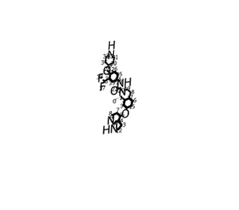 C[C@H]1c2cc(Oc3ccnc4[nH]ccc34)ccc2CCN1C(=O)Nc1ccc(OC2CCNCC2)c(C(F)F)c1